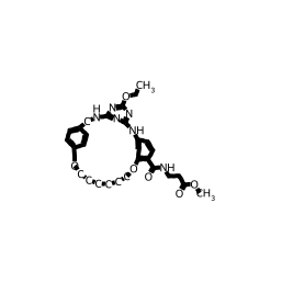 CCOc1nc2nc(n1)Nc1ccc(C(=O)NCCC(=O)OC)c(c1)OCCCCCCOc1ccc(cc1)CN2